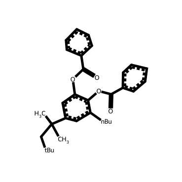 CCCCc1cc(C(C)(C)CC(C)(C)C)cc(OC(=O)c2ccccc2)c1OC(=O)c1ccccc1